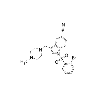 CN1CCN(Cc2cn(S(=O)(=O)c3ccccc3Br)c3ccc(C#N)cc23)CC1